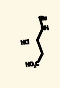 CC(C)(C)NCCC(=O)O.Cl